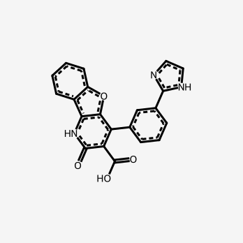 O=C(O)c1c(-c2cccc(-c3ncc[nH]3)c2)c2oc3ccccc3c2[nH]c1=O